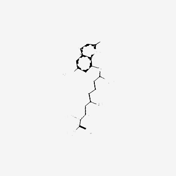 COc1cc(NC(C)CCCC(N)CC[C@H](N)C(N)=O)c2nc(C(C)(C)C)ccc2c1